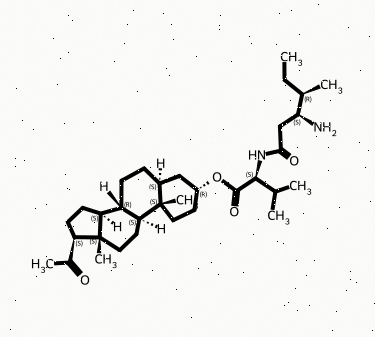 CC[C@@H](C)[C@@H](N)CC(=O)N[C@H](C(=O)O[C@@H]1CC[C@@]2(C)[C@@H](CC[C@@H]3[C@@H]2CC[C@]2(C)[C@@H](C(C)=O)CC[C@@H]32)C1)C(C)C